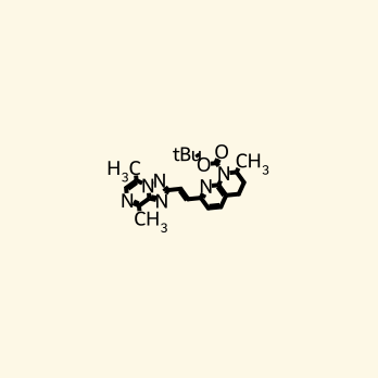 Cc1ncc(C)n2nc(C=Cc3ccc4c(n3)N(C(=O)OC(C)(C)C)C(C)CC4)nc12